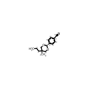 CCC[C@]1(C)CO[C@@H](c2ccc(C#N)cc2)OC1